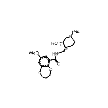 CCCCN1CC[C@@H](CNC(=O)c2cc(OC)cc3c2OCCCO3)[C@H](O)C1